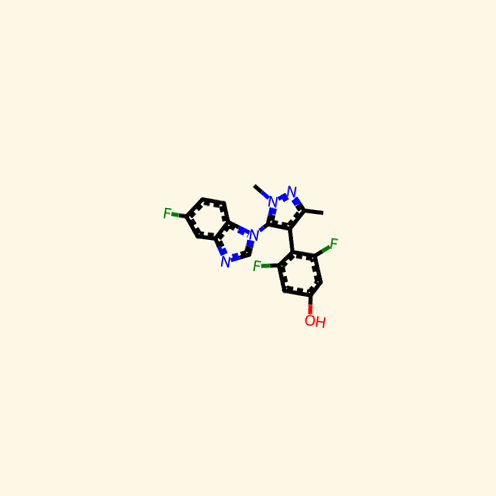 Cc1nn(C)c(-n2cnc3cc(F)ccc32)c1-c1c(F)cc(O)cc1F